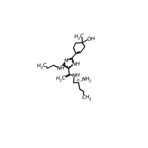 C=C(NC[C@H](N)CCC)c1[nH]c(C2=CCC(C)(O)CC2)nc1NCCC